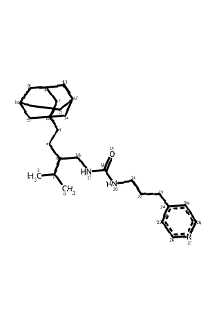 CC(C)C(CCC12CC3CC(CC(C3)C1)C2)CNC(=O)NCCCc1ccncc1